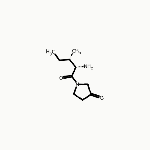 CC[C@H](C)[C@H](N)C(=O)N1CCC(=O)C1